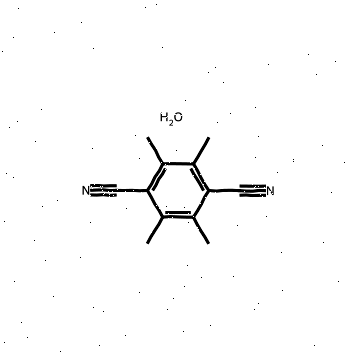 Cc1c(C)c(C#N)c(C)c(C)c1C#N.O